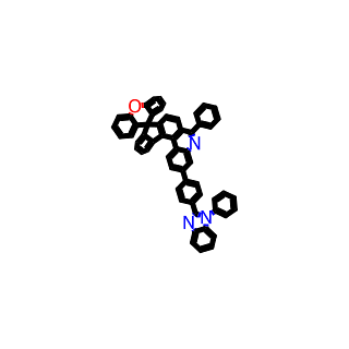 c1ccc(-c2nc3cc(-c4ccc(-c5nc6ccccc6n5-c5ccccc5)cc4)ccc3c3c4c(ccc23)C2(c3ccccc3Oc3ccccc32)c2ccccc2-4)cc1